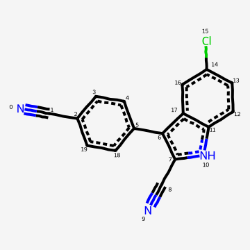 N#Cc1ccc(-c2c(C#N)[nH]c3ccc(Cl)cc23)cc1